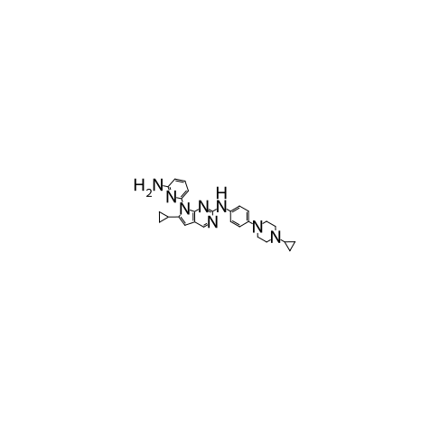 Nc1cccc(-n2c(C3CC3)cc3cnc(Nc4ccc(N5CCN(C6CC6)CC5)cc4)nc32)n1